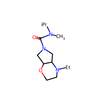 CCN1CCOC2CN(C(=O)N(C)C(C)C)CC21